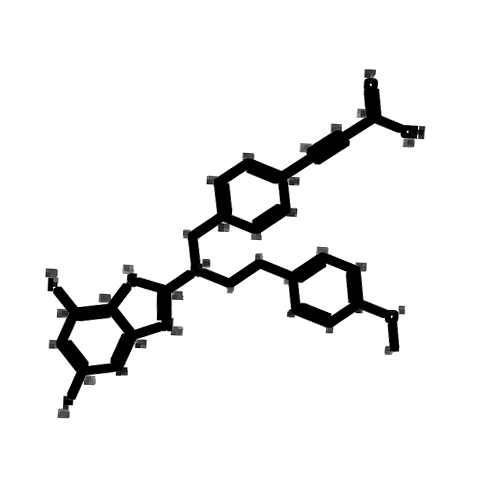 COc1ccc(CCN(Cc2ccc(C#CC(=O)O)cc2)c2nc3cc(F)cc(F)c3s2)cc1